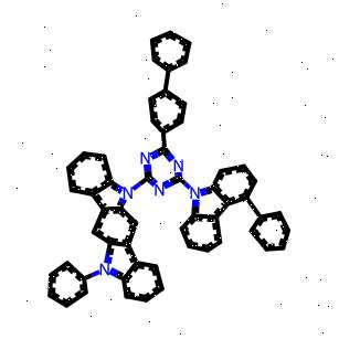 c1ccc(-c2ccc(-c3nc(-n4c5ccccc5c5cc6c(cc54)c4ccccc4n6-c4ccccc4)nc(-n4c5ccccc5c5c(-c6ccccc6)cccc54)n3)cc2)cc1